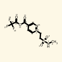 CNS(=O)(=O)CC[n+]1ccc(C(=O)OC(=O)C(F)(F)F)cn1